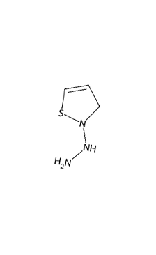 NNN1CC=CS1